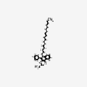 CCCCCCCCCCCCCCCCCCn1c(-c2ccccc2)c(OCC)c(=O)c2ccccc21